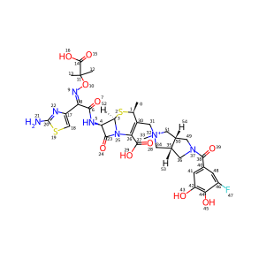 C[C@@H]1S[C@@H]2[C@H](NC(=O)/C(=N\OC(C)(C)C(=O)O)c3csc(N)n3)C(=O)N2C(C(=O)O)=C1C[N+]1(C)C[C@H]2CN(C(=O)c3cc(O)c(O)c(F)c3)C[C@H]2C1